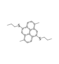 CCCSc1cc2c(C)ccc3c(SCCC)cc4c(C)ccc1c4c23